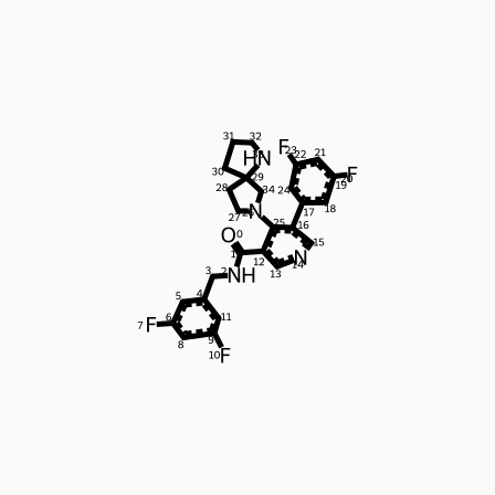 O=C(NCc1cc(F)cc(F)c1)c1cncc(-c2cc(F)cc(F)c2)c1N1CCC2(CCCN2)C1